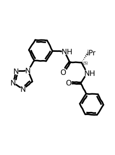 CC(C)[C@H](NC(=O)c1ccccc1)C(=O)Nc1cccc(-n2cnnn2)c1